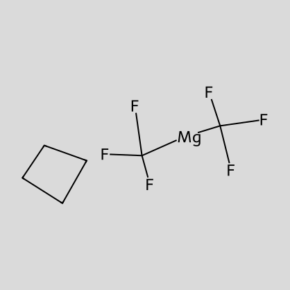 C1CCC1.F[C](F)(F)[Mg][C](F)(F)F